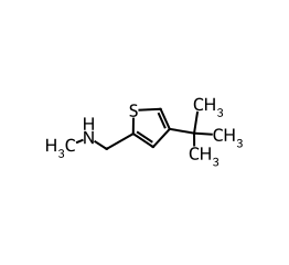 CNCc1cc(C(C)(C)C)cs1